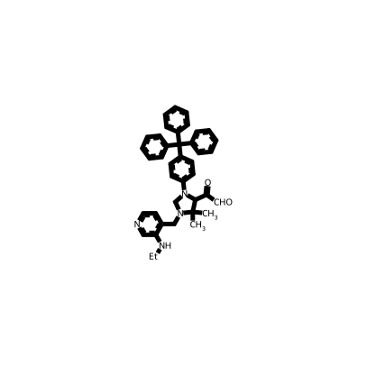 CCNc1cnccc1CN1CN(c2ccc(C(c3ccccc3)(c3ccccc3)c3ccccc3)cc2)C(C(=O)C=O)C1(C)C